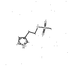 CS(=O)(=O)OCCc1cn[nH]c1